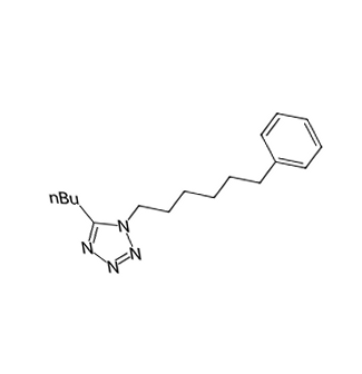 [CH2]CCCc1nnnn1CCCCCCc1ccccc1